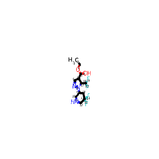 CCOC(O)C1C=NN(C2CNCC(F)(F)C2)C1C(F)F